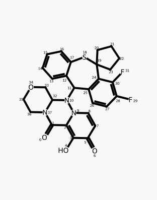 O=C1c2c(O)c(=O)ccn2N(C2c3ccccc3SC3(CCCC3)c3c2ccc(F)c3F)C2COCCN12